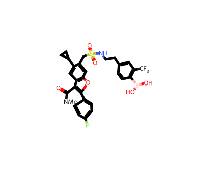 CNC(=O)c1c(-c2ccc(F)cc2)oc2cc(CS(=O)(=O)NCCc3ccc(B(O)O)c(C(F)(F)F)c3)c(C3CC3)cc12